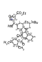 CCCCC(CC)Cn1c2ccc(C(=N)/C(CCC(=O)OCC)=N/OC(C)=O)cc2c2cc(C(=O)c3c(C)cc(C)cc3C)c3ccccc3c21